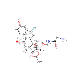 CCCC1O[C@@H]2CC3[C@@H]4C[C@H](F)C5=CC(=O)C=C[C@]5(C)C4[C@@H](O)C[C@]3(C)[C@]2(C(=O)COCNC(=O)CN)O1